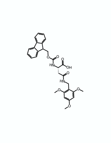 COc1cc(OC)c(CNC(=O)C[C@H](NC(=O)OCC2c3ccccc3-c3ccccc32)C(=O)O)c(OC)c1